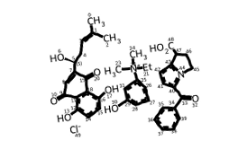 CC(C)=CC[C@H](O)C1=CC(=O)c2c(O)ccc(O)c2C1=O.CC[N+](C)(C)c1cccc(O)c1.O=C(c1ccccc1)c1ccc2n1CCC2C(=O)O.[Cl-]